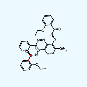 CCOc1ccccc1C(=O)N=Nc1ccc([SiH3])c(N=NC(=O)c2ccccc2OCC)c1N=NC(=O)c1ccccc1OCC